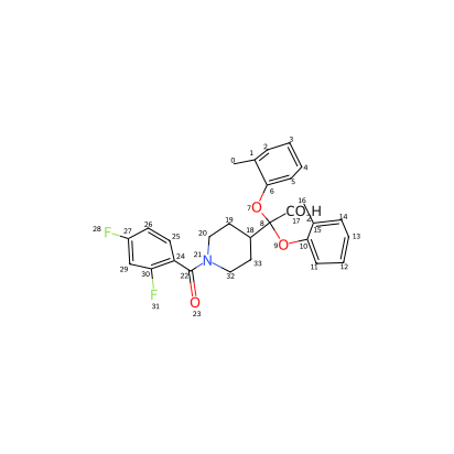 Cc1ccccc1OC(Oc1ccccc1C)(C(=O)O)C1CCN(C(=O)c2ccc(F)cc2F)CC1